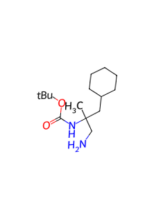 CC(CN)(CC1CCCCC1)NC(=O)OC(C)(C)C